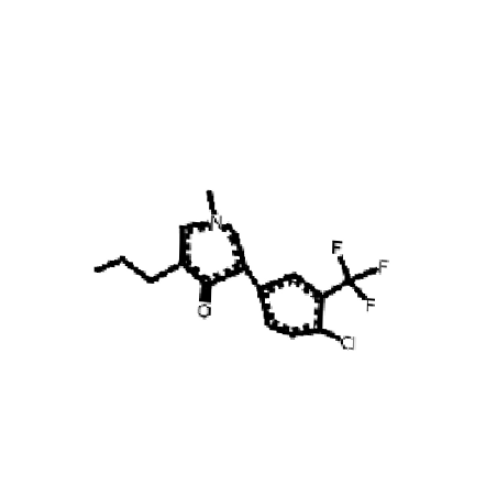 CCCc1cn(C)cc(-c2ccc(Cl)c(C(F)(F)F)c2)c1=O